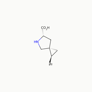 CC(C)[C@@H]1C[C@@]12CN[C@H](C(=O)O)C2